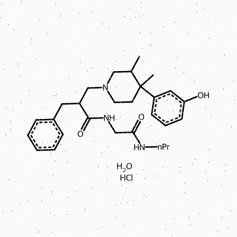 CCCNC(=O)CNC(=O)C(Cc1ccccc1)CN1CCC(C)(c2cccc(O)c2)C(C)C1.Cl.O